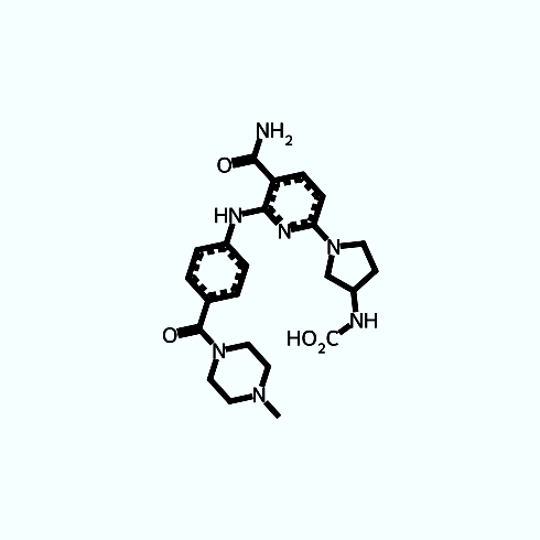 CN1CCN(C(=O)c2ccc(Nc3nc(N4CCC(NC(=O)O)C4)ccc3C(N)=O)cc2)CC1